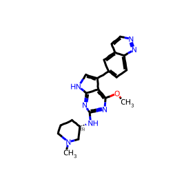 COc1nc(N[C@H]2CCCN(C)C2)nc2[nH]cc(-c3ccc4nnccc4c3)c12